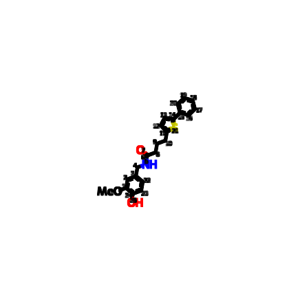 COc1cc(CNC(=O)CCCc2ccc(-c3ccccc3)s2)ccc1O